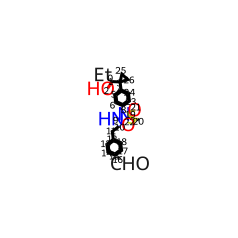 CCC(O)C1(c2ccc(N(NCCc3ccc(C=O)cc3)S(C)(=O)=O)cc2)CC1